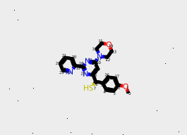 COc1ccc(C(S)c2cc(N3CCOCC3)nc(-c3ccccn3)n2)cc1